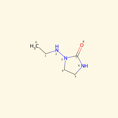 CCNN1CCNC1=O